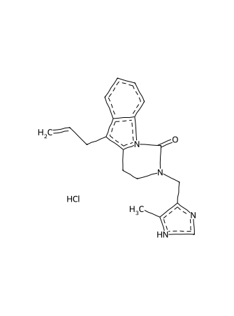 C=CCc1c2n(c3ccccc13)C(=O)N(Cc1nc[nH]c1C)CC2.Cl